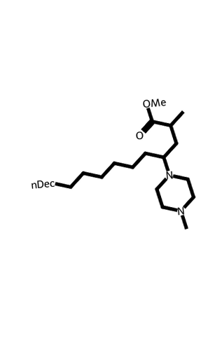 [CH2]OC(=O)C(C)CC(CCCCCCCCCCCCCCCC)N1CCN(C)CC1